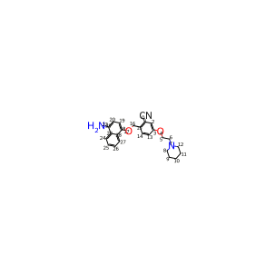 N#Cc1cc(OCCN2CCCCC2)ccc1COc1ccc(N)c2ccccc12